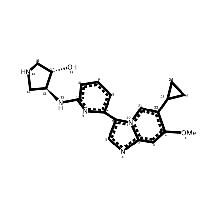 COc1cc2ncc(-c3cccc(N[C@H]4CNC[C@@H]4O)n3)n2cc1C1CC1